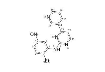 CCc1ccc(N=O)cc1Nc1nccc(-c2cccnc2)n1